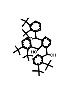 CC(C)(C)c1cccc(C(O)c2cccc(C(O)c3cccc(C(C)(C)C)c3C(C)(C)C)c2C(O)c2cccc(C(C)(C)C)c2C(C)(C)C)c1C(C)(C)C